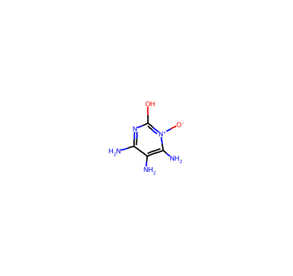 Nc1nc(O)[n+]([O-])c(N)c1N